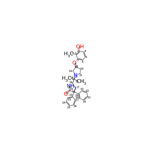 Cc1c(O)cccc1O[C@H]1CCN(C(C)(C)CCC(C(N)=O)(c2ccccc2)c2ccccc2)C1